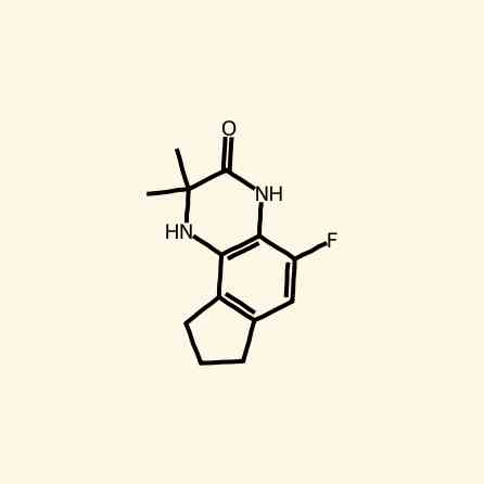 CC1(C)Nc2c3c(cc(F)c2NC1=O)CCC3